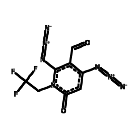 [N-]=[N+]=Nc1cc(=O)n(CC(F)(F)F)c(N=[N+]=[N-])c1C=O